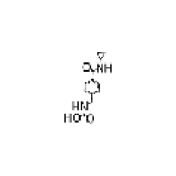 O=C(O)NCc1ccc(C(=O)NC2CC2)cc1